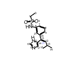 CCS(=O)(=O)Nc1cccc(/C(=C/C(C)C)c2cnc[nH]2)c1